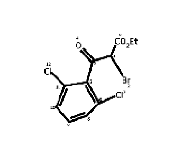 CCOC(=O)C(Br)C(=O)c1c(Cl)cccc1Cl